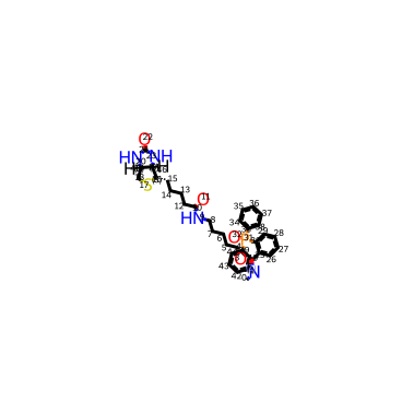 C/N=C(\OCCCCCNC(=O)CCCC[C@@H]1SC[C@@H]2NC(=O)N[C@@H]21)c1ccccc1P(=O)(c1ccccc1)c1ccccc1